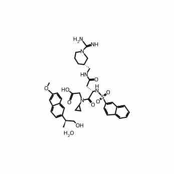 COc1ccc2cc([C@H](C)CO)ccc2c1.N=C(N)N1CCC[C@@H](CNC(=O)C[C@H](NS(=O)(=O)c2ccc3ccccc3c2)C(=O)N(CC(=O)O)C2CC2)C1.O